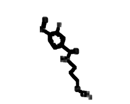 COCCCNC(=O)c1ccc(N=O)c(F)c1